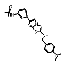 CC(=O)Nc1cccc(-c2cn3nc(NCc4ccc(N(C)C)cc4)sc3n2)c1